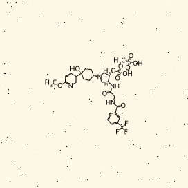 COc1ccc([C@]2(O)CC[C@H](N3CC[C@@H](NC(=O)CNC(=O)c4cccc(C(F)(F)F)c4)C3)CC2)cn1.CS(=O)(=O)O.CS(=O)(=O)O